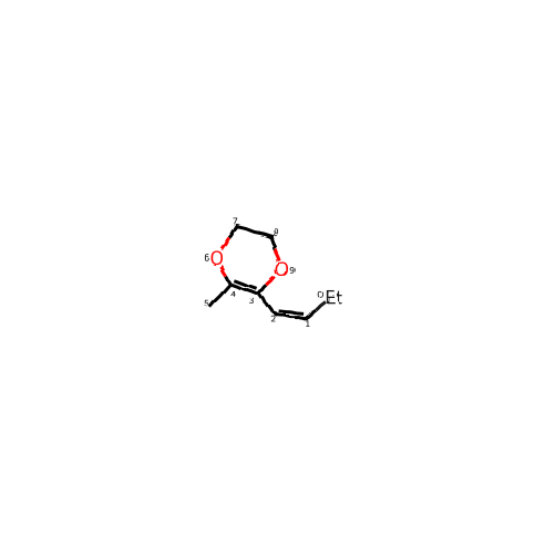 CC/C=C\C1=C(C)OCCO1